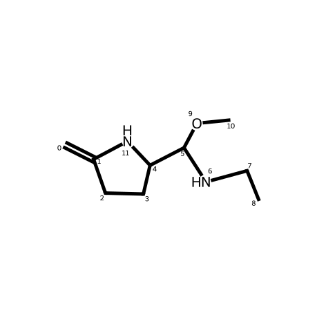 C=C1CCC(C(NCC)OC)N1